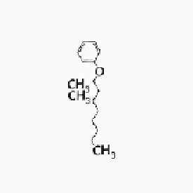 CC.CCCCCCCCOc1ccccc1